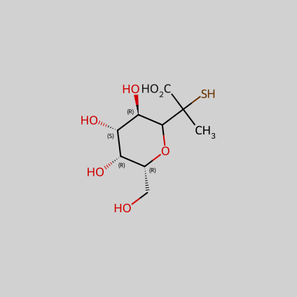 CC(S)(C(=O)O)C1O[C@H](CO)[C@H](O)[C@H](O)[C@H]1O